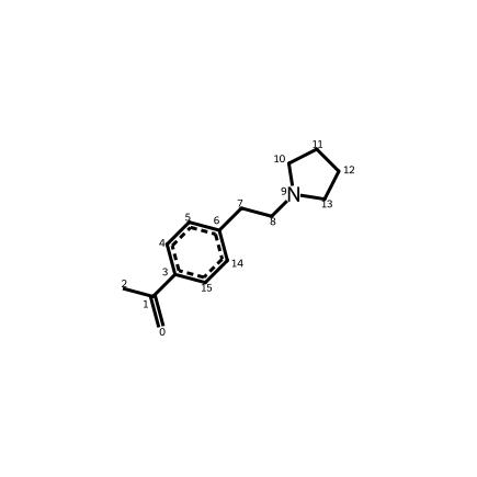 C=C(C)c1ccc(CCN2CCCC2)cc1